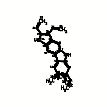 C=CC(=C)/C=C1/Bc2cc3c(cc2/C1=C/C(=C)C=C)BC(C=C)=C3C=C